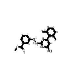 COC(=O)c1cccc(SNc2nc(Cl)cc(-c3c(C)cccc3C)n2)c1